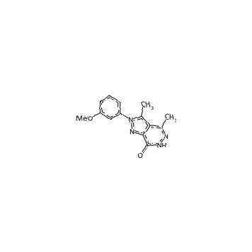 COc1cccc(-n2nc3c(=O)[nH]nc(C)c3c2C)c1